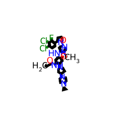 C=CC(=O)Nc1cc(Nc2cc(N3OCCC3c3ccc(Cl)c(Cl)c3F)ncn2)c(OC)cc1N1CCC(N2CCN(C3CC3)CC2)CC1